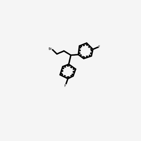 Fc1ccc(C(CCBr)c2ccc(F)cc2)cc1